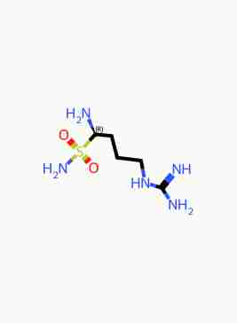 N=C(N)NCCC[C@H](N)S(N)(=O)=O